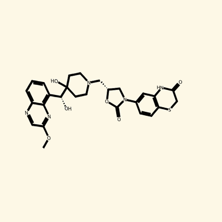 COc1cnc2cccc([C@@H](O)C3(O)CCN(C[C@@H]4CN(c5ccc6c(c5)NC(=O)CS6)C(=O)O4)CC3)c2n1